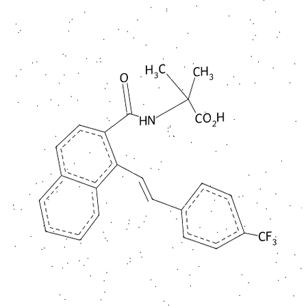 CC(C)(NC(=O)c1ccc2ccccc2c1C=Cc1ccc(C(F)(F)F)cc1)C(=O)O